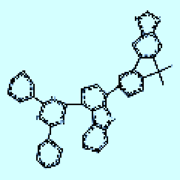 CC1(C)c2ccc(-c3ccc(-c4nc(-c5ccccc5)nc(-c5ccccc5)n4)c4c3oc3ccccc34)cc2-c2cc3ncsc3cc21